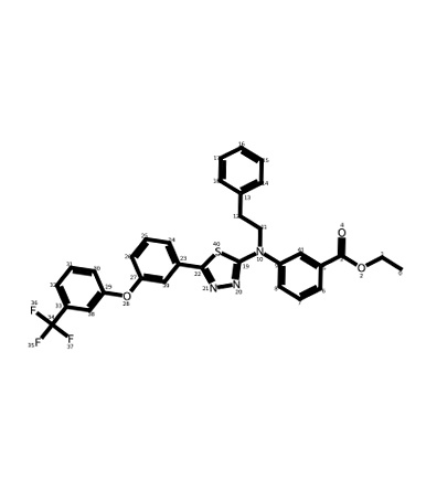 CCOC(=O)c1cccc(N(CCc2ccccc2)c2nnc(-c3cccc(Oc4cccc(C(F)(F)F)c4)c3)s2)c1